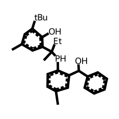 CCC(C)(Pc1ccc(C)cc1C(O)c1ccccc1)c1cc(C)cc(C(C)(C)C)c1O